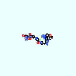 CC1(Oc2ccc3[nH]nc(-c4cc(CC5CCN(C(=O)C6(F)CCN(c7ccc8c(c7)C(=O)N(C7CCC(=O)NC7=O)C8=O)CC6)CC5)ncn4)c3c2)CC1